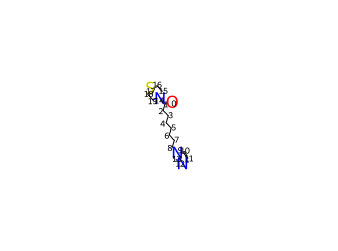 O=C(CCCCCCCn1c[c]nc1)N1CCSCC1